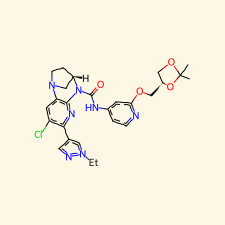 CCn1cc(-c2nc3c(cc2Cl)N2CC[C@@H](C2)N3C(=O)Nc2ccnc(OC[C@H]3COC(C)(C)O3)c2)cn1